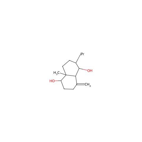 C=C1CCC(O)C2(C)CCC(C(C)C)C(O)C12